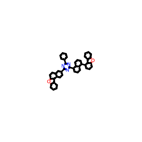 c1ccc(-c2nc(-c3ccc4c(ccc5oc6ccccc6c54)c3)nc(-c3cccc4c(-c5cccc6oc7ccccc7c56)cccc34)n2)cc1